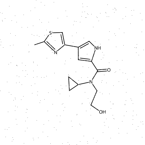 Cc1nc(-c2c[nH]c(C(=O)N(CCO)C3CC3)c2)cs1